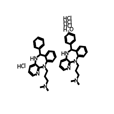 CN(C)CCCN1c2ccccc2C(c2ccccc2)Nc2cccnc21.CN(C)CCCN1c2ccccc2C(c2ccccc2)Nc2cccnc21.Cl.Cl.Cl.Cl.O